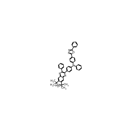 CC(C)(C)c1cc2nc(-c3ccccc3)c(-c3ccc(N(c4ccccc4)c4ccc(-c5nnc(-c6ccccc6)o5)cc4)cc3)nc2cc1C(C)(C)C